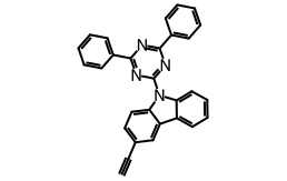 C#Cc1ccc2c(c1)c1ccccc1n2-c1nc(-c2ccccc2)nc(-c2ccccc2)n1